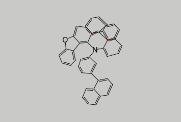 c1ccc(-c2ccccc2N(c2cccc(-c3cccc4ccccc34)c2)c2c(-c3ccccc3)ccc3oc4ccccc4c23)cc1